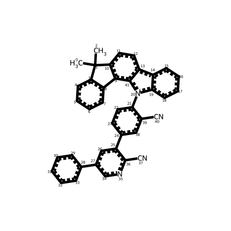 CC1(C)c2ccccc2-c2c1ccc1c3ccccc3n(-c3ccc(-c4cc(-c5ccccc5)cnc4C#N)cc3C#N)c21